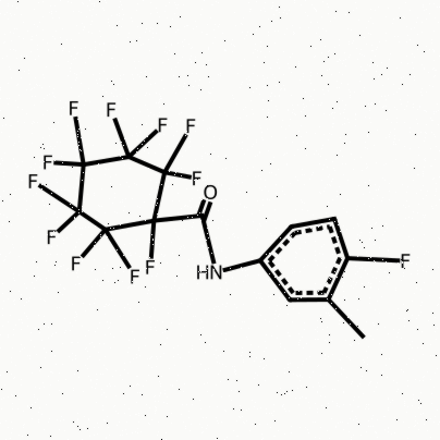 Cc1cc(NC(=O)C2(F)C(F)(F)C(F)(F)C(F)(F)C(F)(F)C2(F)F)ccc1F